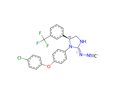 [C-]#[N+]/N=C1\NC[C@H](c2cccc(C(F)(F)F)c2)N1c1ccc(Oc2ccc(Cl)cc2)cc1